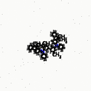 Cc1cc(-c2cc(C)cc(N(c3ccccc3)c3ccc4c(c3)C(C)(C)c3ccccc3-4)c2)cc(N(c2ccccc2)c2ccc3c(c2)C(C)(C)c2ccccc2-3)c1